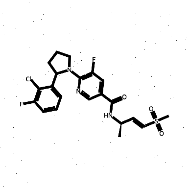 C[C@H](/C=C/S(C)(=O)=O)NC(=O)c1cnc(N2CCCC2c2cccc(F)c2Cl)c(F)c1